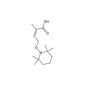 CC(=CCON1C(C)(C)CCCC1(C)C)C(=O)O